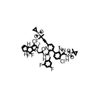 Cn1nc(NS(=O)(=O)C2(C)CC2)c2c(Cl)ccc(-c3ccc(C#CC(C)(C)S(=O)(=O)C4CC4)nc3[C@H](Cc3cc(F)cc(F)c3)NC(=O)Cn3nc(C(F)(F)F)c4c3C(F)(F)[C@@H]3CC#C[C@H]43)c21